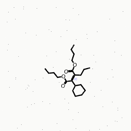 CCCCOC(=O)/C(CCC)=C(\C(=O)OCCCC)C1CCCCC1